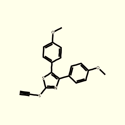 C#CSc1nc(-c2ccc(OC)cc2)c(-c2ccc(OC)cc2)s1